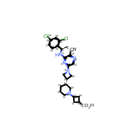 C[C@@H](Nc1nc(N2CC([C@H]3CCCN(C4CC(C(=O)O)C4)C3)C2)cnc1C#N)c1ccc(Cl)cc1Cl